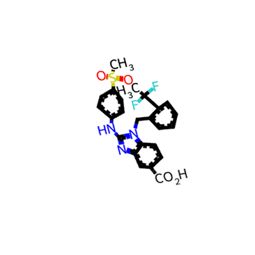 CC(F)(F)c1ccccc1Cn1c(Nc2ccc(S(C)(=O)=O)cc2)nc2cc(C(=O)O)ccc21